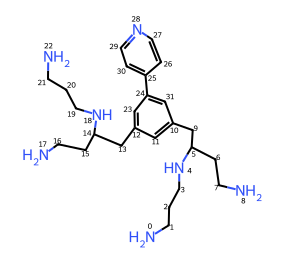 NCCCNC(CCN)Cc1cc(CC(CCN)NCCCN)cc(-c2ccncc2)c1